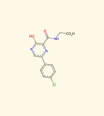 O=C(O)CNC(=O)c1nc(-c2ccc(Cl)cc2)cnc1O